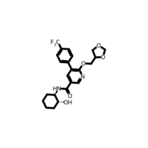 O=C(N[C@@H]1CCCC[C@H]1O)c1cnc(OCC2COCO2)c(-c2ccc(C(F)(F)F)cc2)c1